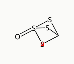 O=S123SC(S1)(S2)S3